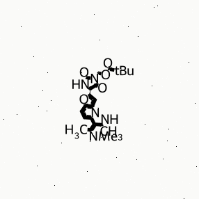 CN/C(C)=C(\C(C)=N)c1ccc2oc([C@@H]3NC(=O)N(COC(=O)C(C)(C)C)C3=O)cc2n1